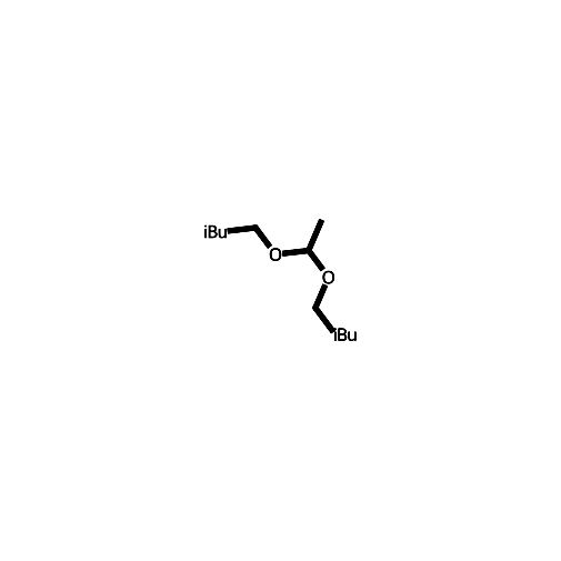 CCC(C)COC(C)OCC(C)CC